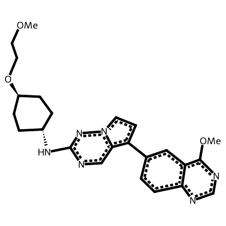 COCCO[C@H]1CC[C@H](Nc2ncc3c(-c4ccc5ncnc(OC)c5c4)ccn3n2)CC1